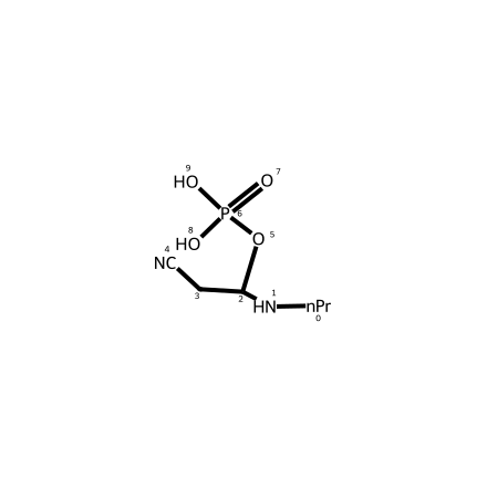 CCCNC(CC#N)OP(=O)(O)O